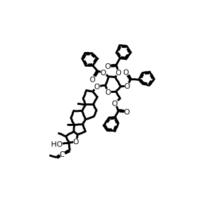 CC=C=CC1(O)OC2CC3C4CCC5CC(OC6OC(COC(=O)c7ccccc7)C(OC(=O)c7ccccc7)C(OC(=O)c7ccccc7)C6OC(=O)c6ccccc6)CCC5(C)C4CCC3(C)C2C1C